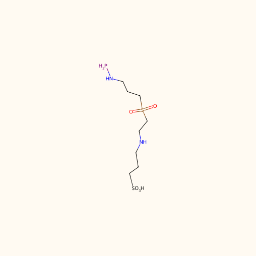 O=S(=O)(O)CCCNCCS(=O)(=O)CCCNP